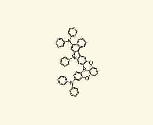 c1ccc(N(c2ccccc2)c2ccc3c(c2)Oc2cccc4c2B3c2cc3c(cc2O4)c2c4ccccc4c(N(c4ccccc4)c4ccccc4)cc2n3-c2ccccc2)cc1